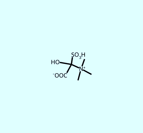 C[N+](C)(C)C(O)(C(=O)[O-])S(=O)(=O)O